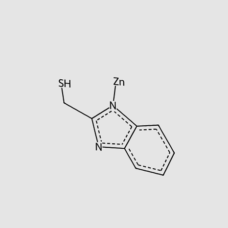 SCc1nc2ccccc2[n]1[Zn]